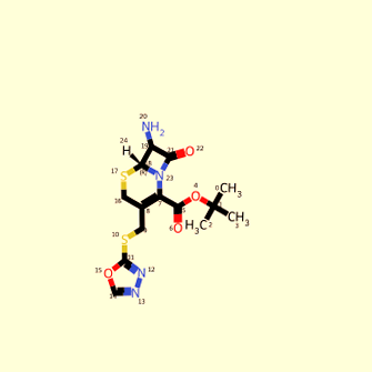 CC(C)(C)OC(=O)C1=C(CSc2nnco2)CS[C@@H]2C(N)C(=O)N12